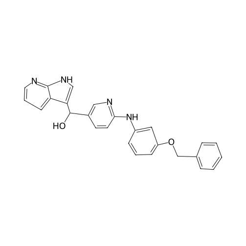 OC(c1ccc(Nc2cccc(OCc3ccccc3)c2)nc1)c1c[nH]c2ncccc12